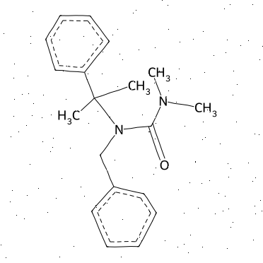 CN(C)C(=O)N(Cc1ccccc1)C(C)(C)c1ccccc1